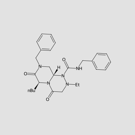 CCCC[C@H]1C(=O)N(Cc2ccccc2)C[C@H]2N1C(=O)CN(CC)N2C(=O)NCc1ccccc1